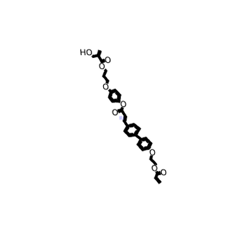 C=CC(=O)OCCOc1ccc(-c2ccc(/C=C/C(=O)Oc3ccc(OCCCOC(=O)C(=C)CO)cc3)cc2)cc1